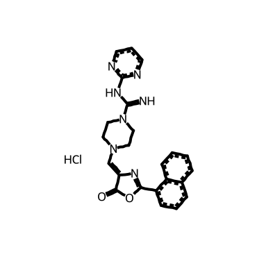 Cl.N=C(Nc1ncccn1)N1CCN(C=C2N=C(c3cccc4ccccc34)OC2=O)CC1